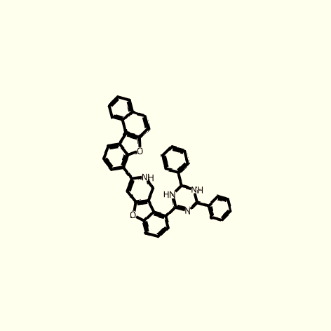 C1=C(c2cccc3c2oc2ccc4ccccc4c23)NCc2c1oc1cccc(C3=NC(c4ccccc4)NC(c4ccccc4)N3)c21